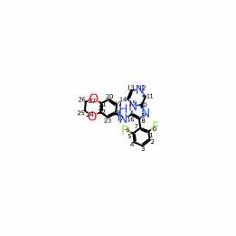 Fc1cccc(F)c1-c1nc2cnccn2c1Nc1ccc2c(c1)OCCO2